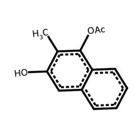 CC(=O)Oc1c(C)c(O)cc2ccccc12